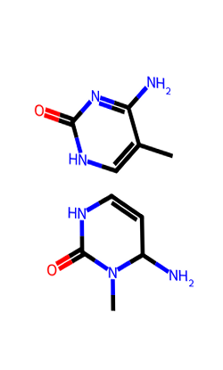 CN1C(=O)NC=CC1N.Cc1c[nH]c(=O)nc1N